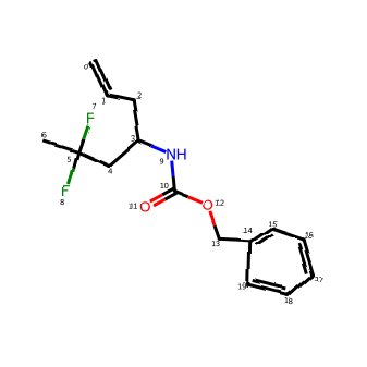 C=CCC(CC(C)(F)F)NC(=O)OCc1ccccc1